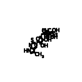 CCC(C)(C[C@H]1O[C@@H](n2cc3c(C)c[nH]c3nc2=S)[C@@H](O)C1O)OP(=O)(O)C(C)(O)CC